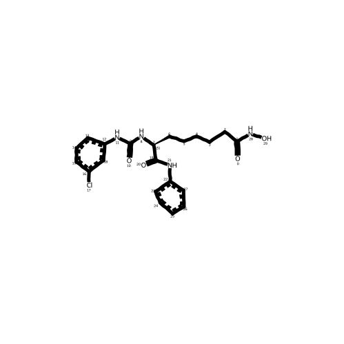 O=C(CCCCC[C@H](NC(=O)Nc1cccc(Cl)c1)C(=O)Nc1ccccc1)NO